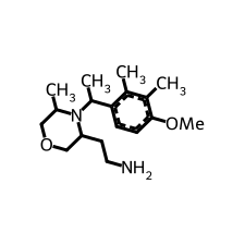 COc1ccc(C(C)N2C(C)COCC2CCN)c(C)c1C